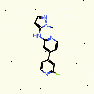 Cn1nccc1Nc1cc(-c2ccnc(F)c2)ccn1